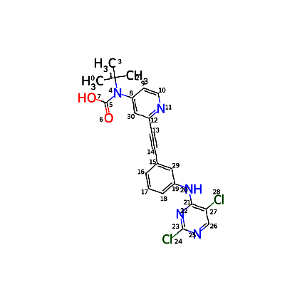 CC(C)(C)N(C(=O)O)c1ccnc(C#Cc2cccc(Nc3nc(Cl)ncc3Cl)c2)c1